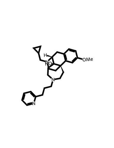 COc1ccc2c(c1)[C@@]13CCN(CCCc4ccccn4)CC[C@@]1(O)[C@@H](C2)N(CC1CC1)CC3